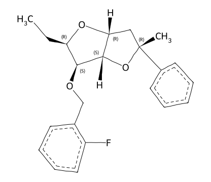 CC[C@H]1O[C@@H]2C[C@](C)(c3ccccc3)O[C@@H]2[C@H]1OCc1ccccc1F